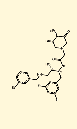 CCCN1C(=O)CN(CC(=O)N[C@@H](Cc2cc(F)cc(F)c2)[C@@H](O)CNCc2cccc(CC)c2)CC1=O